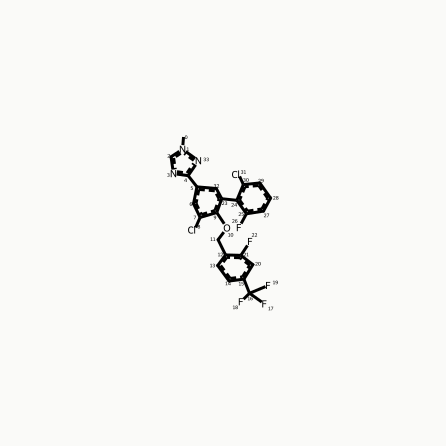 Cn1cnc(-c2cc(Cl)c(OCc3ccc(C(F)(F)F)cc3F)c(-c3c(F)cccc3Cl)c2)n1